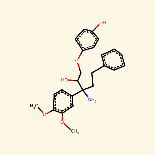 COc1ccc(C(N)(CCc2ccccc2)C(O)COc2ccc(O)cc2)cc1OC